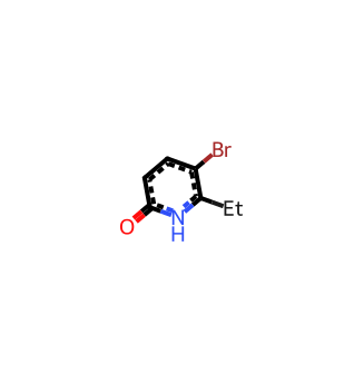 CCc1[nH]c(=O)ccc1Br